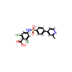 Cc1cc(-c2ccc(S(=O)(=O)Nc3cc(F)c(C(=O)O)c(F)c3)cc2)ccn1